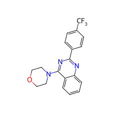 FC(F)(F)c1ccc(-c2nc(N3CCOCC3)c3ccccc3n2)cc1